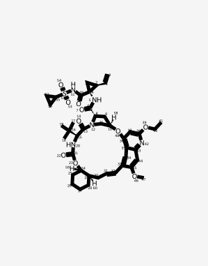 C=C[C@@H]1C[C@]1(NC(=O)[C@@H]1C[C@@H]2CN1C(=O)[C@H](C(C)(C)C)NC(=O)O[C@H]1CCCC[C@@H]1C/C=C/c1cc3c(cc(OCC)nc3cc1OC)O2)C(=O)NS(=O)(=O)C1CC1